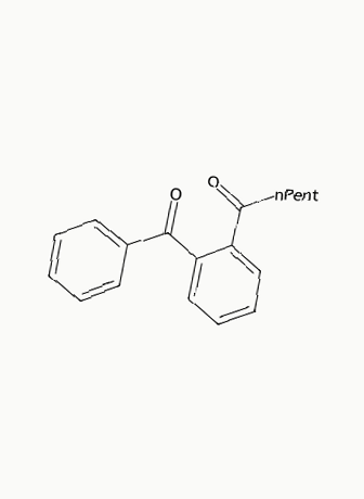 CCCCCC(=O)c1ccccc1C(=O)c1ccccc1